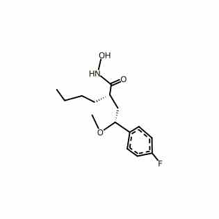 CCCC[C@@H](C[C@@H](OC)c1ccc(F)cc1)C(=O)NO